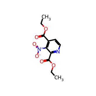 CCOC(=O)c1ccnc(C(=O)OCC)c1[N+](=O)[O-]